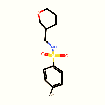 CC(=O)c1ccc(S(=O)(=O)NCC2CCCOC2)cc1